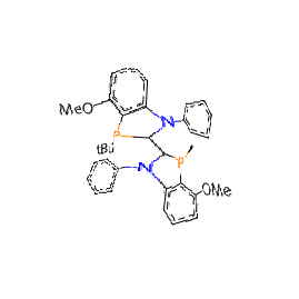 COc1cccc2c1[P@](C)C(C1N(c3ccccc3)c3cccc(OC)c3[P@]1C(C)(C)C)N2c1ccccc1